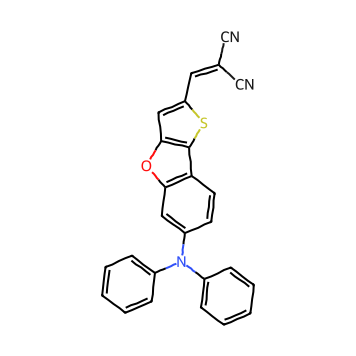 N#CC(C#N)=Cc1cc2oc3cc(N(c4ccccc4)c4ccccc4)ccc3c2s1